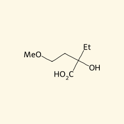 CCC(O)(CCOC)C(=O)O